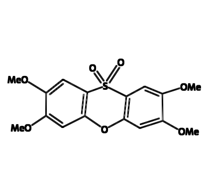 COc1cc2c(cc1OC)S(=O)(=O)c1cc(OC)c(OC)cc1O2